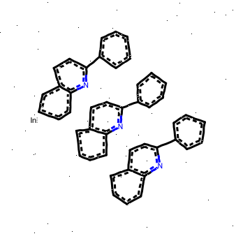 [In].c1ccc(-c2ccc3ccccc3n2)cc1.c1ccc(-c2ccc3ccccc3n2)cc1.c1ccc(-c2ccc3ccccc3n2)cc1